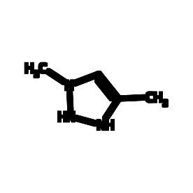 CC1=CN(C)NN1